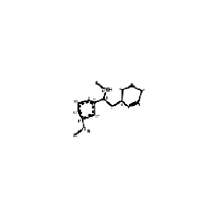 CNC(CC1C=CCCC1)c1cccc(OC)c1